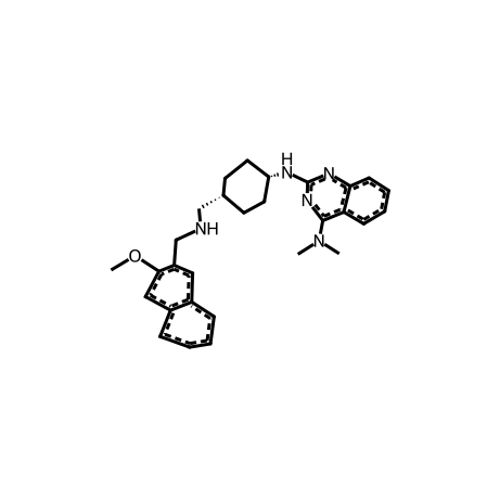 COc1cc2ccccc2cc1CNC[C@H]1CC[C@@H](Nc2nc(N(C)C)c3ccccc3n2)CC1